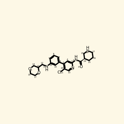 O=C(Nc1cc(-c2cccc(NCC3COCCO3)c2)c(Cl)cn1)[C@@H]1CCCNC1